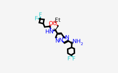 CCOC[C@H](NC(=O)CC1CC(F)(F)C1)c1cnn2cc([C@@H](N)C3CCC(F)(F)CC3)nc2c1